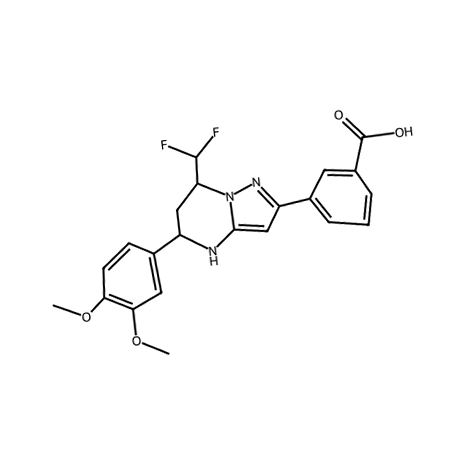 COc1ccc(C2CC(C(F)F)n3nc(-c4cccc(C(=O)O)c4)cc3N2)cc1OC